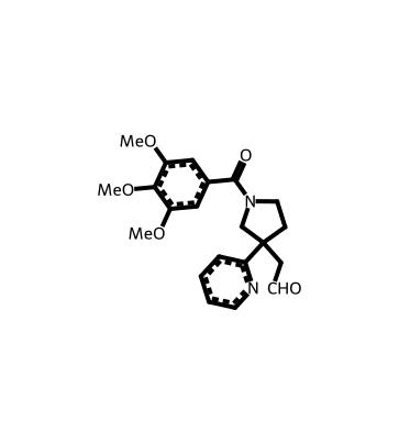 COc1cc(C(=O)N2CCC(CC=O)(c3ccccn3)C2)cc(OC)c1OC